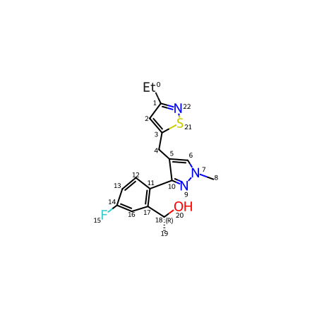 CCc1cc(Cc2cn(C)nc2-c2ccc(F)cc2[C@@H](C)O)sn1